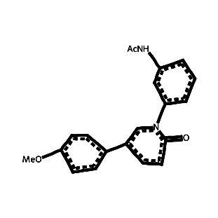 COc1ccc(-c2ccc(=O)n(-c3cccc(NC(C)=O)c3)c2)cc1